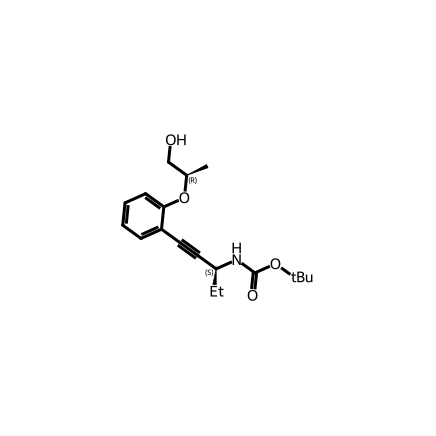 CC[C@@H](C#Cc1ccccc1O[C@H](C)CO)NC(=O)OC(C)(C)C